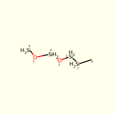 C[SiH2][SiH2]O[SiH2]O[SiH3]